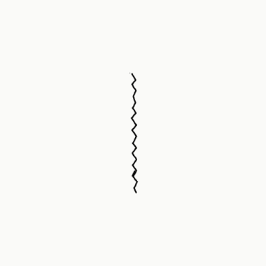 [CH2]CCCCCCCCCCCCCCCCC=CCCC